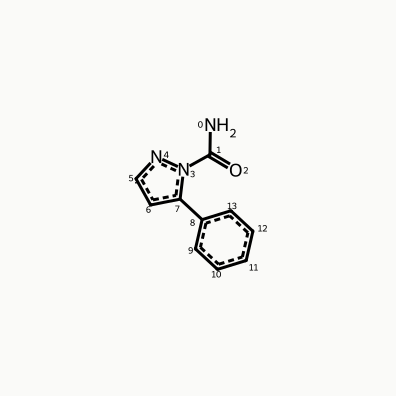 NC(=O)n1n[c]cc1-c1ccccc1